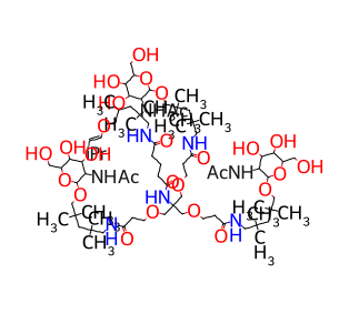 CC(=O)NC1C(OCC(C)(C)CC(C)(C)CNC(=O)CCOCC(COCCC(=O)NCC(C)(C)CC(C)(C)COC2OC(CO)C(O)C(O)C2NC(C)=O)(COCCC(=O)NCC(C)(C)CC(C)(C)COC2OC(CO)C(O)C(O)C2NC(C)=O)NC(=O)CCCC(=O)NCC(C)(C)CC(C)COC=CC(C)C)OC(CO)C(O)C1O